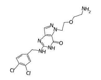 NCCOCCn1ncc2nc(NCc3ccc(Cl)c(Cl)c3)[nH]c(=O)c21